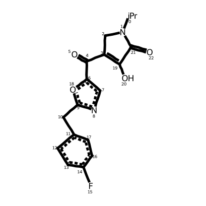 CC(C)N1CC(C(=O)c2cnc(Cc3ccc(F)cc3)o2)=C(O)C1=O